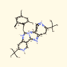 Cc1cc(C)c(-c2nc3cc(C(C)(C)C)ncc3c3nc4cc(C(C)(C)C)ncc4n23)c(C)c1